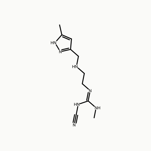 CN/C(=N/CCNCc1cc(C)[nH]n1)NC#N